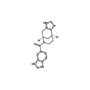 O=C(c1ccc2nc[nH]c2c1)N1CC[C@H]2C[C@@H]1Cc1[nH]cnc12